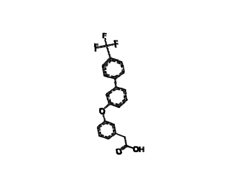 O=C(O)Cc1cccc(Oc2cccc(-c3ccc(C(F)(F)F)cc3)c2)c1